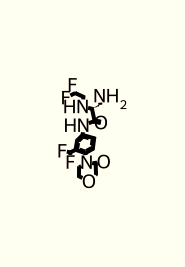 NC[C@@H](NCC(F)F)C(=O)Nc1ccc(N2CCOCC2=O)c(C(F)F)c1